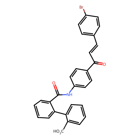 O=C(/C=C/c1ccc(Br)cc1)c1ccc(NC(=O)c2ccccc2-c2ccccc2C(=O)O)cc1